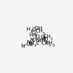 CCCN(CC(CC)C(C)Nc1cc(-c2ccc3cc(C#N)cnn23)ncc1C(=O)NC[C@@H](F)C(C)(C)O)S(C)(=O)=O